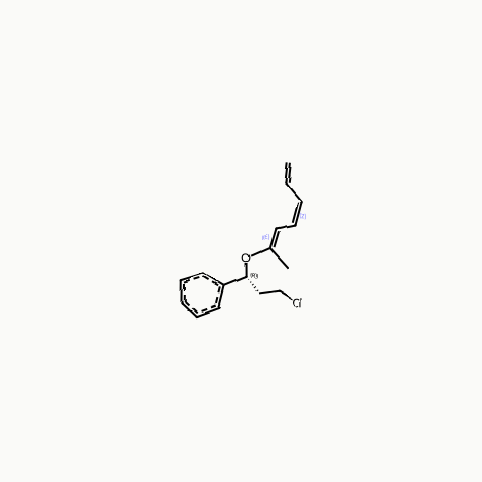 C=C/C=C\C=C(/C)O[C@H](CCCl)c1ccccc1